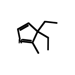 CCC1(CC)C=CN=C1C